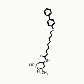 CN(C)CC(CC(=O)O)NC(=O)CCCCCCCCOc1ccc(-c2ccccc2)cc1